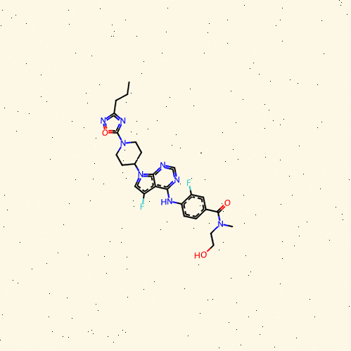 CCCc1noc(N2CCC(n3cc(F)c4c(Nc5ccc(C(=O)N(C)CCO)cc5F)ncnc43)CC2)n1